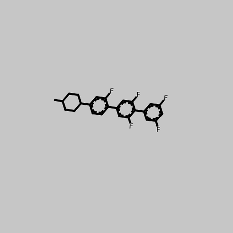 CC1CCC(c2ccc(-c3cc(F)c(-c4cc(F)cc(F)c4)c(F)c3)c(F)c2)CC1